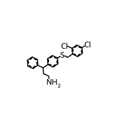 NCCC(c1ccccc1)c1ccc(SCc2ccc(Cl)cc2Cl)cc1